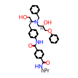 CCCNC(=O)c1ccc(C(=O)Nc2ccc(C[C@@H](CO)N(Cc3ccccc3)C[C@H](O)COc3ccccc3)cc2)cc1